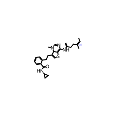 C=C(CC/C(C)=C\C)NC1=C2SC=C(CCc3ccccc3C(=O)NC3CC3)C2N(C)C=N1